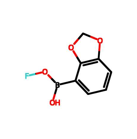 OB(OF)c1cccc2c1OCO2